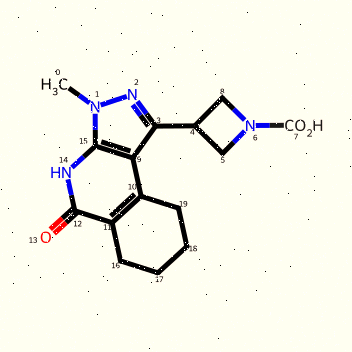 Cn1nc(C2CN(C(=O)O)C2)c2c3c(c(=O)[nH]c21)CCCC3